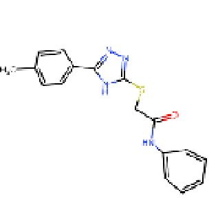 Cc1ccc(-c2nnc(SCC(=O)Nc3ccccc3)[nH]2)cc1